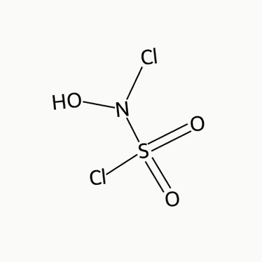 O=S(=O)(Cl)N(O)Cl